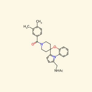 CC(=O)NCc1ccc2n1-c1ccccc1OC21CCN(C(=O)c2ccc(C)c(C)c2)CC1